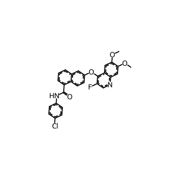 COc1cc2ncc(F)c(Oc3ccc4c(C(=O)Nc5ccc(Cl)cc5)cccc4c3)c2cc1OC